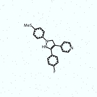 CSc1ccc(N2CC(c3ccncc3)=C(c3ccc(F)cc3)N2)cc1